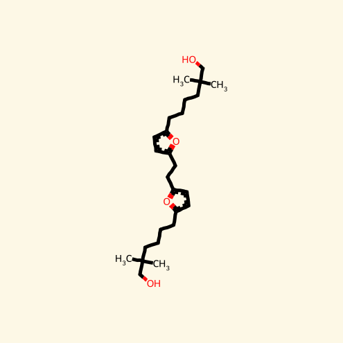 CC(C)(CO)CCCCc1ccc(CCc2ccc(CCCCC(C)(C)CO)o2)o1